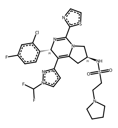 O=S(=O)(CCN1CCCC1)N[C@H]1CC2=C(c3ccn(C(F)F)n3)[C@H](c3ccc(F)cc3Cl)N=C(c3nccs3)N2C1